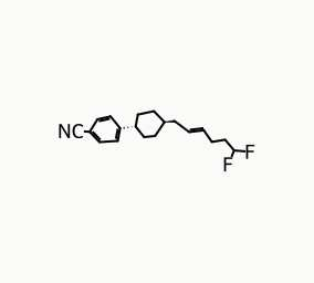 N#Cc1ccc([C@H]2CC[C@H](C/C=C/CCC(F)F)CC2)cc1